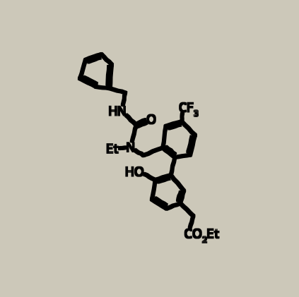 CCOC(=O)Cc1ccc(O)c(-c2ccc(C(F)(F)F)cc2CN(CC)C(=O)NCc2ccccc2)c1